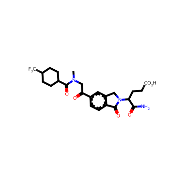 CN(CC(=O)c1ccc2c(c1)CN(C(CCC(=O)O)C(N)=O)C2=O)C(=O)C1CCC(C(F)(F)F)CC1